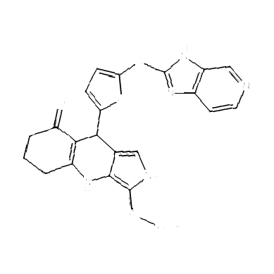 CCOC(=O)Oc1[nH]cc2c1NC1=C(C(=O)CCC1)C2c1ccc(Sc2nc3ccncc3[nH]2)o1